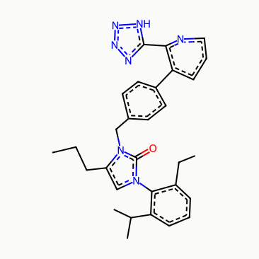 CCCc1cn(-c2c(CC)cccc2C(C)C)c(=O)n1Cc1ccc(-c2cccnc2-c2nnn[nH]2)cc1